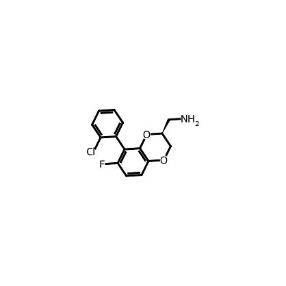 NC[C@H]1COc2ccc(F)c(-c3ccccc3Cl)c2O1